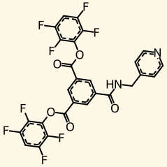 O=C(NCc1ccncc1)c1cc(C(=O)Oc2c(F)c(F)cc(F)c2F)cc(C(=O)Oc2c(F)c(F)cc(F)c2F)c1